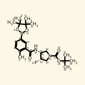 Cc1ccc(B2OC(C)(C)C(C)(C)O2)cc1C(=O)N[C@@H]1CN(C(=O)OC(C)(C)C)C[C@@H]1F